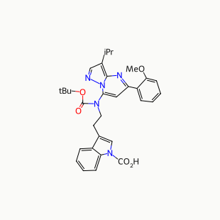 COc1ccccc1-c1cc(N(CCc2cn(C(=O)O)c3ccccc23)C(=O)OC(C)(C)C)n2ncc(C(C)C)c2n1